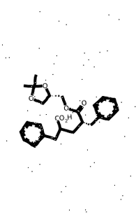 CC1(C)OC[C@@H](COC(=O)[C@H](Cc2ccccc2)CC(Cc2ccccc2)C(=O)O)O1